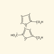 O=C(O)c1ccc(C(=O)O)o1.O=C(O)c1ccco1